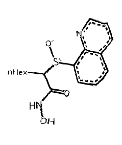 CCCCCCC(C(=O)NO)[S+]([O-])c1cccc2cccnc12